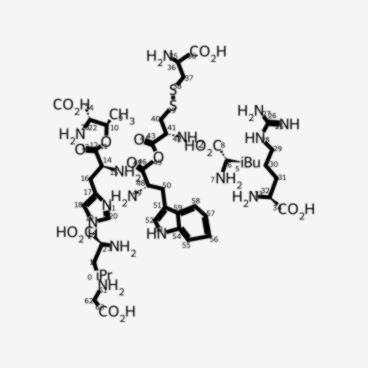 CC(C)C[C@H](N)C(=O)O.CC[C@H](C)[C@H](N)C(=O)O.C[C@@H](OC(=O)[C@@H](N)Cc1c[nH]cn1)[C@H](N)C(=O)O.N=C(N)NCCC[C@H](N)C(=O)O.NC(CSSC[C@H](N)C(=O)OC(=O)[C@@H](N)Cc1c[nH]c2ccccc12)C(=O)O.NCC(=O)O